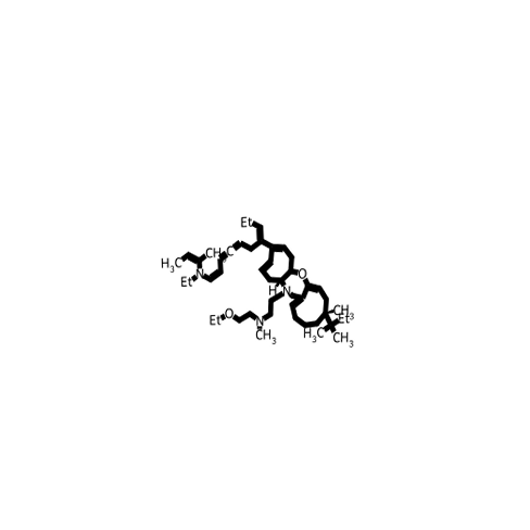 C/C=C(/C)N(/C=C\C=C=CCC(=C\CC)/C1=C/CC2OC3=C/C[C@](C)(C(C)(C)CC)CCC\C=C\3CN(CCN(C)CCOCC)[C@@H]2C\C=C\1)CC